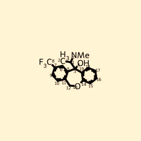 CNC(C)C1(O)c2cc(C(F)(F)F)ccc2COc2ccccc21